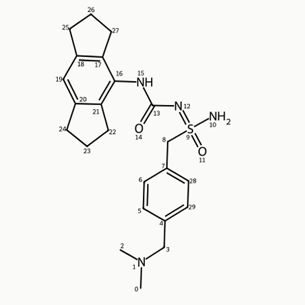 CN(C)Cc1ccc(CS(N)(=O)=NC(=O)Nc2c3c(cc4c2CCC4)CCC3)cc1